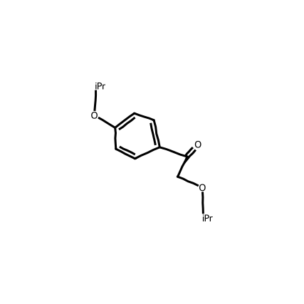 CC(C)OCC(=O)c1ccc(OC(C)C)cc1